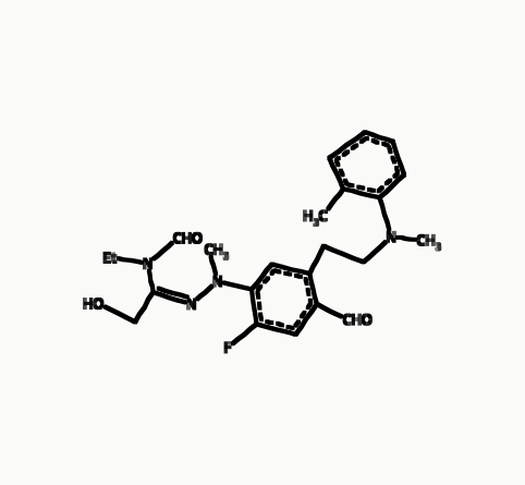 CCN(C=O)/C(CO)=N\N(C)c1cc(CCN(C)c2ccccc2C)c(C=O)cc1F